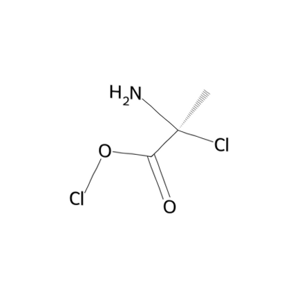 C[C@](N)(Cl)C(=O)OCl